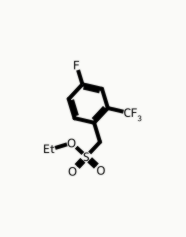 CCOS(=O)(=O)Cc1ccc(F)cc1C(F)(F)F